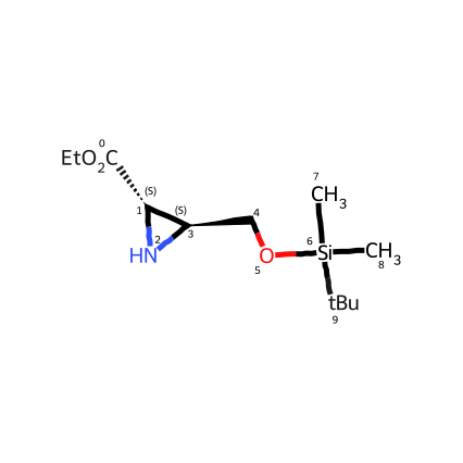 CCOC(=O)[C@H]1N[C@@H]1CO[Si](C)(C)C(C)(C)C